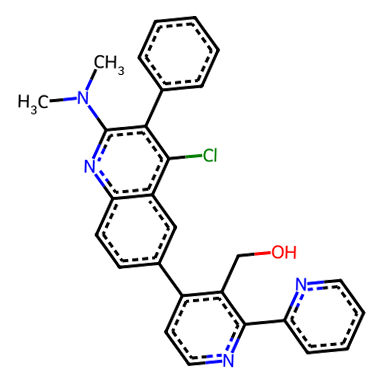 CN(C)c1nc2ccc(-c3ccnc(-c4ccccn4)c3CO)cc2c(Cl)c1-c1ccccc1